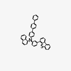 c1ccc(-c2ccc(-c3ccc(N(c4cccc(-c5cccc6c5sc5ccccc56)c4)c4cccc5ccccc45)cc3)cc2)cc1